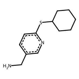 NCc1ccc(SC2CCCCC2)nc1